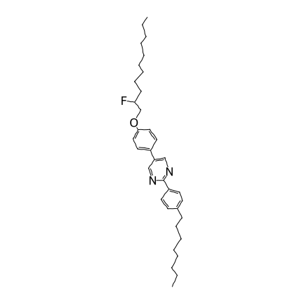 CCCCCCCCCC(F)COc1ccc(-c2cnc(-c3ccc(CCCCCCCC)cc3)nc2)cc1